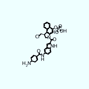 NC1C=CC(C(=O)Nc2ccc3[nH]c(C(=O)N4C[C@@H](CCl)c5c4cc(OP(=O)(O)O)c4ccccc54)cc3c2)=CC1